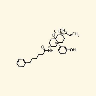 C=CC[N@@+]1(C)CC[C@@]2(c3cccc(O)c3)C[C@H](NC(=O)CCCCCc3ccccc3)CCC2(OC)C1